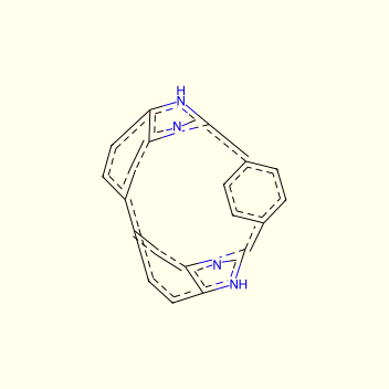 c1cc2[nH]c3nc2cc1c1ccc2[nH]c(nc2c1)c1ccc3cc1